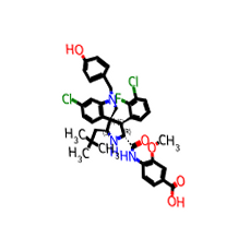 COc1cc(C(=O)O)ccc1NC(=O)[C@@H]1N[C@@H](CC(C)(C)C)[C@@]2(CN(Cc3ccc(O)cc3)c3cc(Cl)ccc32)[C@H]1c1cccc(Cl)c1F